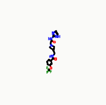 O=C(CN1CC2C(CNC(=O)c3cccc(OC(F)(F)F)c3)C2C1)Nc1ncc[nH]1